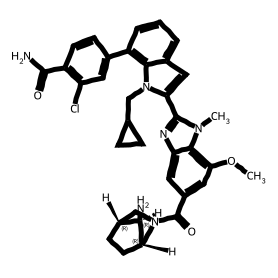 COc1cc(C(=O)N2C[C@H]3CC[C@@H]2[C@@H]3N)cc2nc(-c3cc4cccc(-c5ccc(C(N)=O)c(Cl)c5)c4n3CC3CC3)n(C)c12